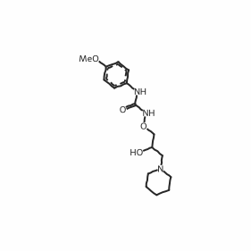 COc1ccc(NC(=O)NOCC(O)CN2CCCCC2)cc1